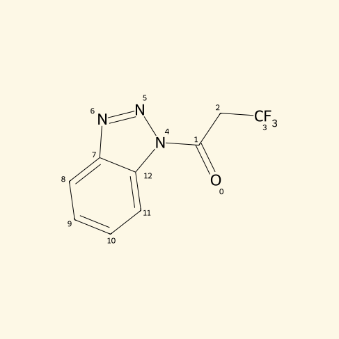 O=C(CC(F)(F)F)n1nnc2ccccc21